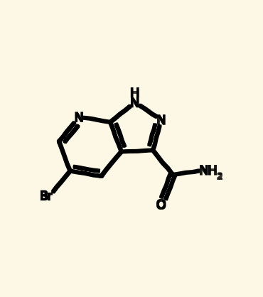 NC(=O)c1n[nH]c2ncc(Br)cc12